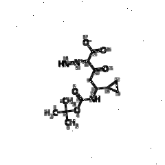 CC(C)(C)OC(=O)NC(CC(=O)C(=[N+]=N)C(=O)[O-])C1CC1